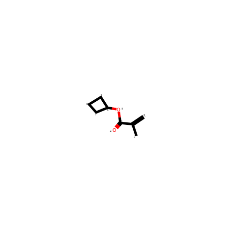 [CH]=C(C)C(=O)OC1CCC1